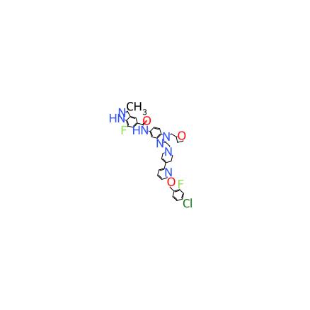 Cc1n[nH]c2c(F)cc(C(=O)Nc3ccc4c(c3)nc(CN3CC=C(c5cccc(OCc6ccc(Cl)cc6F)n5)CC3)n4CC3CCO3)cc12